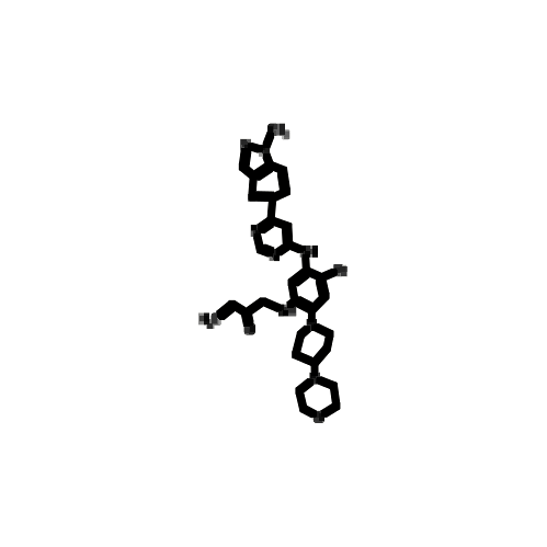 C=CC(=O)CNc1cc(Nc2cc(-c3ccc4c(cnn4C)c3)ncn2)c(CC)cc1N1CCC(N2CCOCC2)CC1